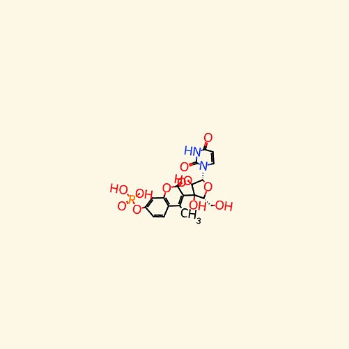 Cc1c([C@@]2(O)[C@@H](CO)O[C@@H](n3ccc(=O)[nH]c3=O)[C@@H]2O)c(=O)oc2cc(OP(=O)(O)O)ccc12